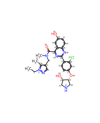 CCn1ncc(CN(C)C(=O)c2nc(-c3ccc(O[C@@H]4CNC[C@H]4O)cc3Cl)nc3ccc(O)cc23)c1C